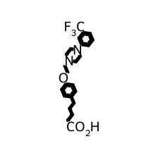 O=C(O)CCCCc1ccc(OCCN2CCN(c3cccc(C(F)(F)F)c3)CC2)cc1